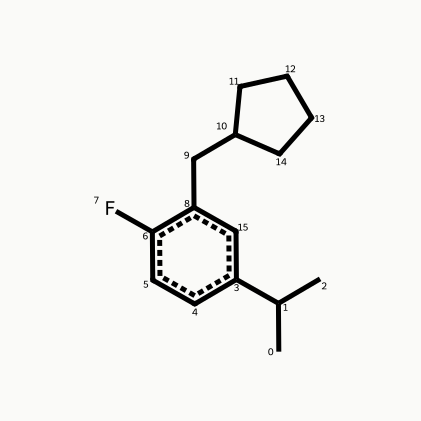 CC(C)c1ccc(F)c(CC2CCCC2)c1